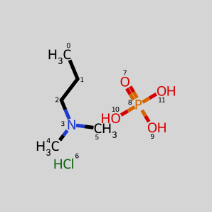 CCCN(C)C.Cl.O=P(O)(O)O